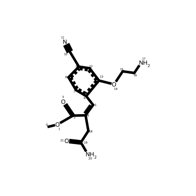 COC(=O)C(=Cc1ccc(C#N)cc1OCCN)CC(N)=O